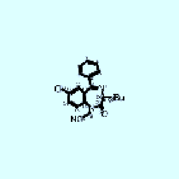 CC[C@H](C)[C@@H]1N=C(c2ccccc2)c2cc(Cl)ccc2N(CC#N)C1=O